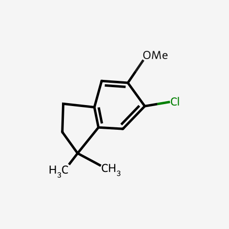 COc1cc2c(cc1Cl)C(C)(C)CC2